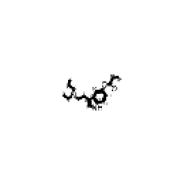 CCCN(CC)CCc1c[nH]c2ccc(OC(=O)CC)cc12